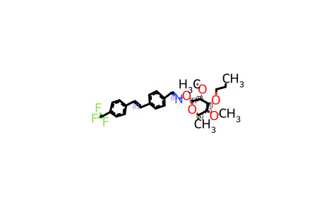 CCCO[C@@H]1[C@@H](OC)[C@H](C)O[C@@H](O/N=C/c2ccc(/C=C/c3ccc(C(F)(F)F)cc3)cc2)[C@@H]1OC